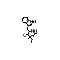 CCC(C)(C)C(=O)C(Cc1c[nH]c2ccccc12)NC(C)C